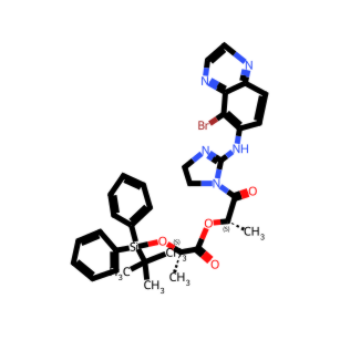 C[C@H](O[Si](c1ccccc1)(c1ccccc1)C(C)(C)C)C(=O)O[C@@H](C)C(=O)N1CCN=C1Nc1ccc2nccnc2c1Br